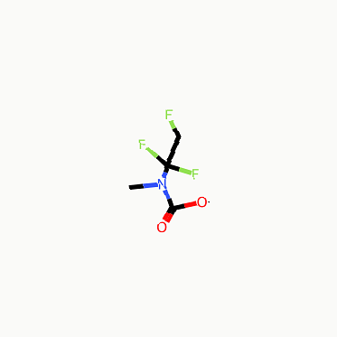 CN(C([O])=O)C(F)(F)CF